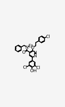 CCN(Cc1ccccc1)C(=O)c1cc(-c2cc(Cl)c(O)c(Cl)c2)nnc1OCCc1ccc(Cl)cc1